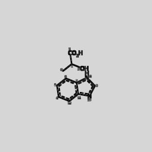 CC(O)C(=O)O.c1ccc2[nH]cnc2c1